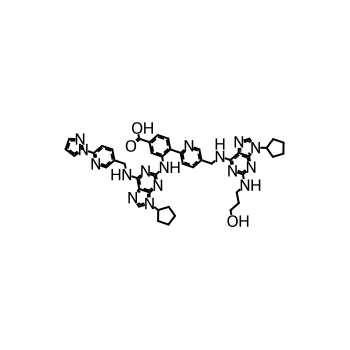 O=C(O)c1ccc(-c2ccc(CNc3nc(NCCCO)nc4c3ncn4C3CCCC3)cn2)c(Nc2nc(NCc3ccc(-n4cccn4)nc3)c3ncn(C4CCCC4)c3n2)c1